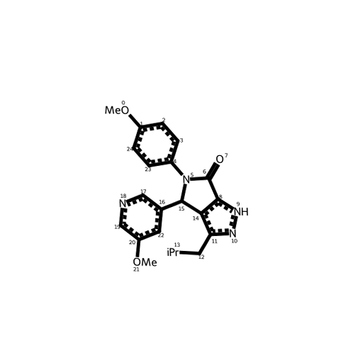 COc1ccc(N2C(=O)c3[nH]nc(CC(C)C)c3C2c2cncc(OC)c2)cc1